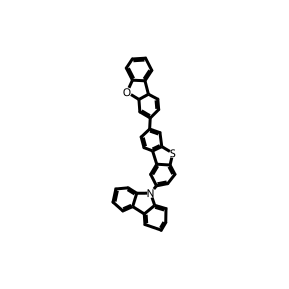 C1=CC2c3ccccc3OC2C=C1c1ccc2c(c1)sc1ccc(-n3c4ccccc4c4ccccc43)cc12